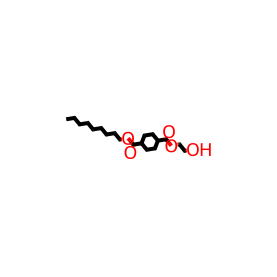 CCCCCCCCCOC(=O)C1CCC(C(=O)OCCO)CC1